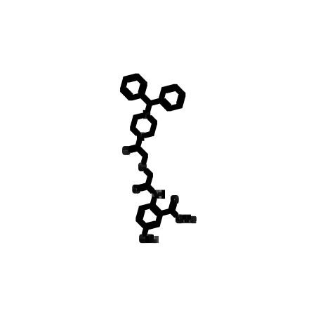 COC(=O)c1cc(OCC(C)C)ccc1NC(=O)COCC(=O)N1CCN(C(c2ccccc2)c2ccccc2)CC1